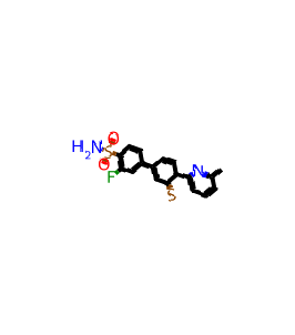 Cc1cccc(C2C=CC(c3ccc(S(N)(=O)=O)c(F)c3)=CC2=S)n1